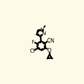 Cn1c[c]c(-c2c(F)c(Cl)cc(OC3CC3)c2C#N)n1